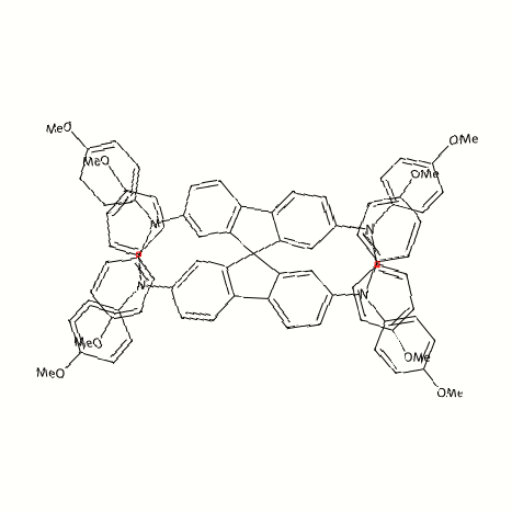 COC1=C=C=C(N(c2ccc(OC)cc2)c2ccc3c(c2)C2(c4cc(N(C5=CC=C(OC)CC5)c5ccc(OC)cc5)ccc4-c4ccc(N(c5ccc(OC)cc5)c5ccc(OC)cc5)cc42)c2cc(N(c4ccc(OC)cc4)c4ccc(OC)cc4)ccc2-3)C=C1